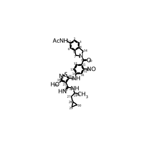 CC(=O)Nc1ccc2c(c1)CN(C(=O)c1ccc(Nc3snc(O)c3C(=N)NC(C)CC3CC3)cc1N=O)C2